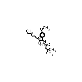 CCCCCCN1C(=O)C(=NNC(=O)CC(C)C)c2ccc(OC)cc21